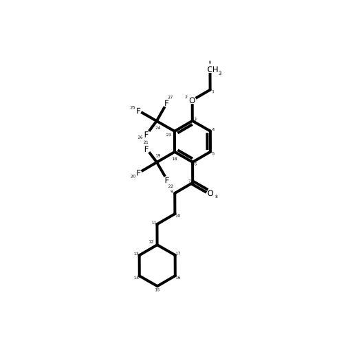 CCOc1ccc(C(=O)CCCC2CCCCC2)c(C(F)(F)F)c1C(F)(F)F